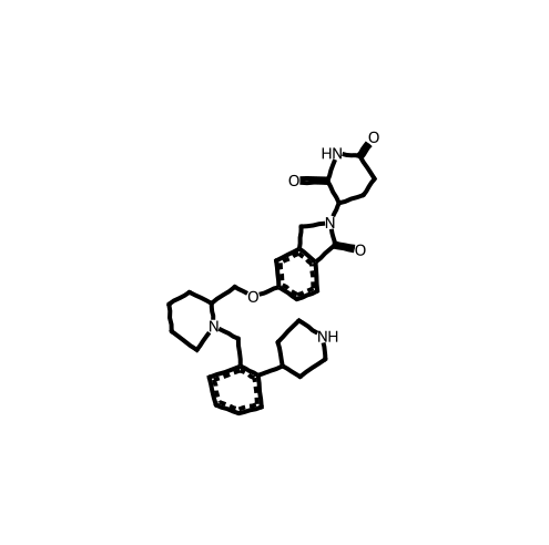 O=C1CCC(N2Cc3cc(OCC4CCCCN4Cc4ccccc4C4CCNCC4)ccc3C2=O)C(=O)N1